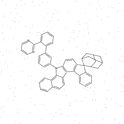 c1cnc(-c2ccccc2-c2cccc(-n3c4ccc5c(c4c4ccc6ccccc6c43)-c3ccccc3C53C4CC5CC(C4)CC3C5)c2)nc1